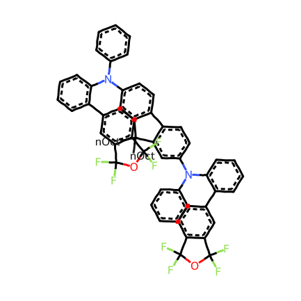 CCCCCCCCC1(CCCCCCCC)c2cc(N(c3ccccc3)c3ccccc3-c3ccc4c(c3)C(F)(F)OC4(F)F)ccc2-c2ccc(N(c3ccccc3)c3ccccc3-c3ccc4c(c3)C(F)(F)OC4(F)F)cc21